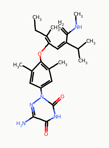 C=C(NC)/C(=C\C(Oc1c(C)cc(-n2nc(N)c(=O)[nH]c2=O)cc1C)=C(/C)CC)C(C)C